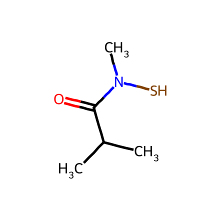 CC(C)C(=O)N(C)S